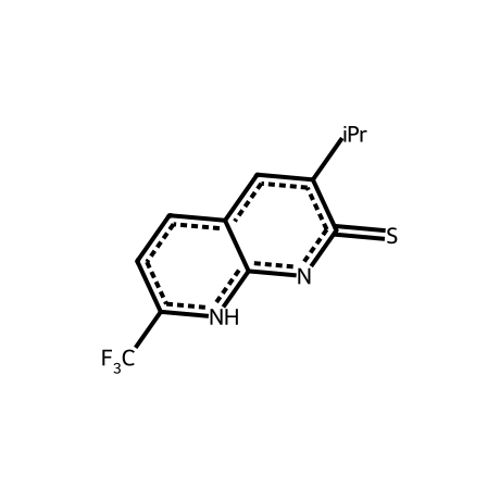 CC(C)c1cc2ccc(C(F)(F)F)[nH]c-2nc1=S